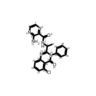 CC(NC(=O)c1nccnc1N)c1nc2cccc(Cl)c2c(=O)n1-c1ccccc1